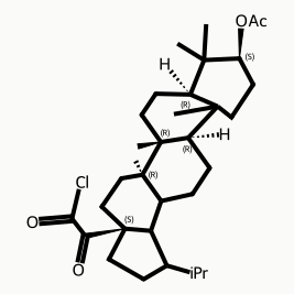 CC(=O)O[C@H]1CCC2(C)[C@H]3CCC4C5C(C(C)C)CC[C@]5(C(=O)C(=O)Cl)CC[C@@]4(C)[C@]3(C)CC[C@H]2C1(C)C